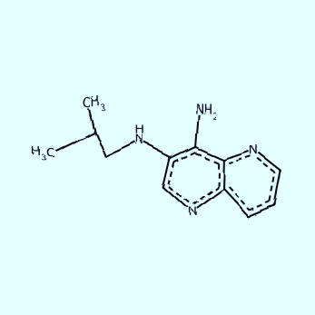 CC(C)CNc1cnc2cccnc2c1N